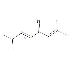 CC(C)=CC(=O)/C=C/C(C)C